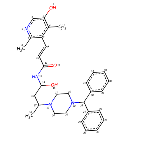 Cc1ncc(O)c(C)c1C=CC(=O)NC(O)CC(C)N1CCN(C(c2ccccc2)c2ccccc2)CC1